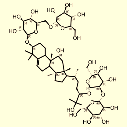 C[C@H](CC[C@@H](O[C@@H]1O[C@H](CO)[C@@H](O)[C@H](O)[C@H]1O[C@H]1O[C@@H](CO)[C@H](O)[C@@H](O)[C@@H]1O)C(C)(C)O)C1CC[C@@]2(C)C3CC=C4C(CC[C@H](O[C@@H]5O[C@H](CO[C@H]6O[C@H](CO)[C@@H](O)[C@H](O)[C@H]6O)[C@@H](O)[C@H](O)[C@H]5O)C4(C)C)[C@]3(C)[C@H](O)C[C@]12C